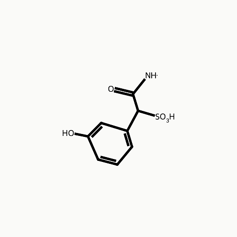 [NH]C(=O)C(c1cccc(O)c1)S(=O)(=O)O